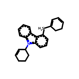 C1=CCCC([SiH2]c2cccc3c2c2ccccc2n3C2C=CCCC2)=C1